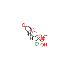 CCC(=O)O[C@]1(C(=O)C(O)Cl)C(C)C[C@H]2[C@@H]3CCC4=CC(=O)C=C[C@]4(C)[C@]34OC4C[C@@]21C